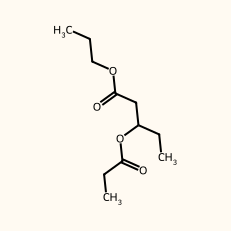 CCCOC(=O)CC(CC)OC(=O)CC